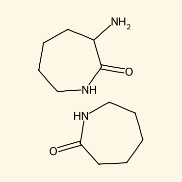 NC1CCCCNC1=O.O=C1CCCCCN1